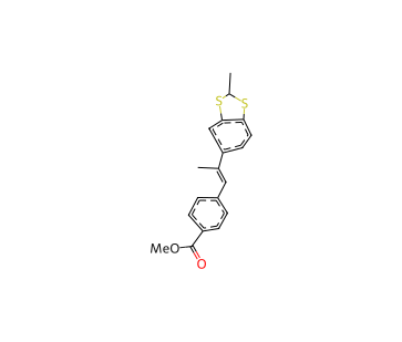 COC(=O)c1ccc(/C=C(\C)c2ccc3c(c2)SC(C)S3)cc1